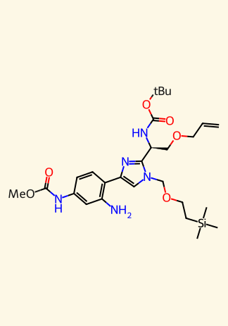 C=CCOC[C@H](NC(=O)OC(C)(C)C)c1nc(-c2ccc(NC(=O)OC)cc2N)cn1COCC[Si](C)(C)C